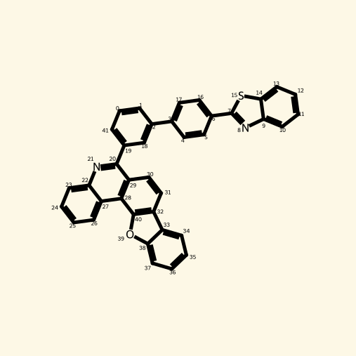 c1cc(-c2ccc(-c3nc4ccccc4s3)cc2)cc(-c2nc3ccccc3c3c2ccc2c4ccccc4oc23)c1